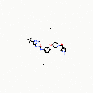 Cn1nc(C(C)(C)C)cc1NC(=O)Nc1cccc(OC2CCN(C(=O)c3cc[nH]c3)CC2)c1